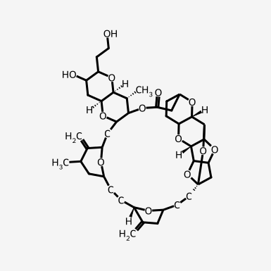 C=C1C(C)CC2CC[C@@H]3OC(CC[C@@]45CC6OC7C(O4)[C@H]4OC(CCC4O[C@H]7C6O5)CC(=O)OC4C(CC1O2)O[C@H]1CC(O)C(CCO)O[C@H]1[C@@H]4C)CC3=C